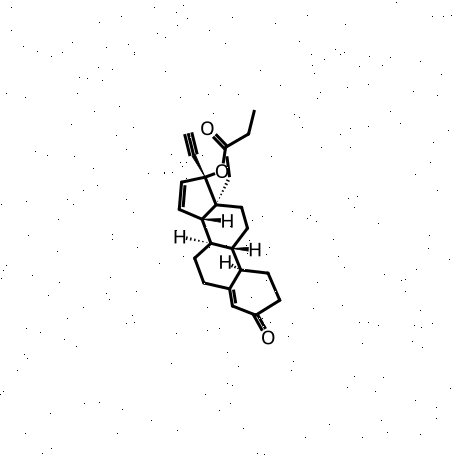 C#C[C@]1(OC(=O)CC)C=C[C@H]2[C@@H]3CCC4=CC(=O)CC[C@@H]4[C@H]3CC[C@@]21CC